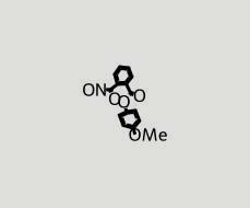 COc1ccc(OC(=O)c2ccccc2C(=O)N=O)cc1